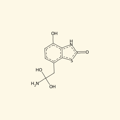 NC(O)(O)Cc1ccc(O)c2[nH]c(=O)sc12